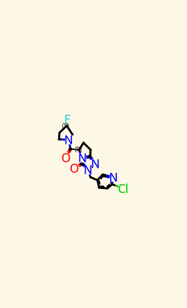 O=C([C@H]1CCc2nn(Cc3ccc(Cl)nc3)c(=O)n21)N1CC[C@H](F)C1